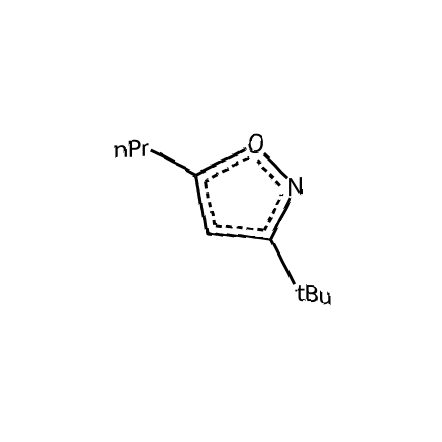 CCCc1cc(C(C)(C)C)no1